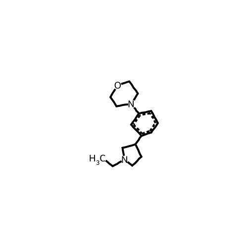 CCN1CCC(c2cccc(N3CCOCC3)c2)C1